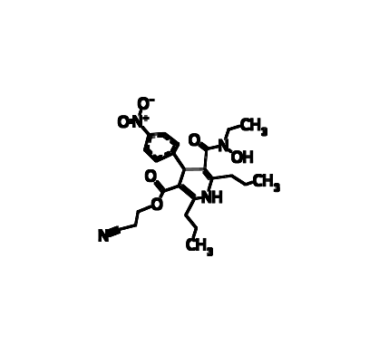 CCCC1=C(C(=O)OCCC#N)C(c2ccc([N+](=O)[O-])cc2)C(C(=O)N(O)CC)=C(CCC)N1